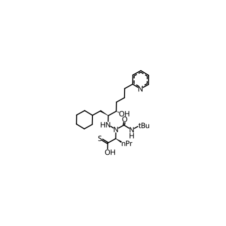 CCC[C@@H](C(O)=S)N(N[C@@H](CC1CCCCC1)[C@@H](O)CCCc1ccccn1)C(=O)NC(C)(C)C